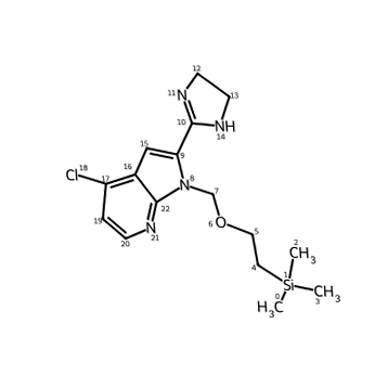 C[Si](C)(C)CCOCn1c(C2=NCCN2)cc2c(Cl)ccnc21